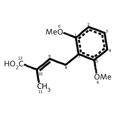 COc1cccc(OC)c1CC=C(C)C(=O)O